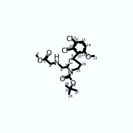 COC(=O)CNCC1CC(c2c(OC)ccc(Cl)c2Cl)CCN1C(=O)OC(C)(C)C